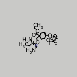 CCOC(=O)C1(CO/C(=C/N)N(N)CC)CC=C(OS(=O)(=O)C(F)(F)F)CC1